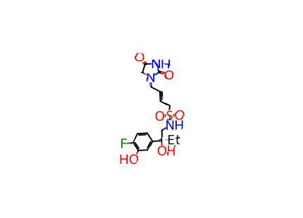 CC[C@@](O)(CNS(=O)(=O)C/C=C/CN1CC(=O)NC1=O)c1ccc(F)c(O)c1